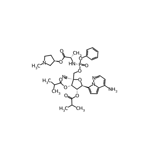 CC(C)C(=O)O[C@H]1[C@H](c2ccc3c(N)ccnn23)O[C@](C#N)(CO[P@@](=O)(N[C@@H](C)C(=O)O[C@@H]2CCN(C)C2)Oc2ccccc2)[C@H]1OC(=O)C(C)C